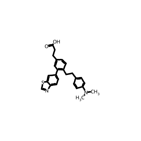 CN(C)c1ccc(CCc2ccc(CCC(=O)O)cc2-c2ccc3ncsc3c2)cc1